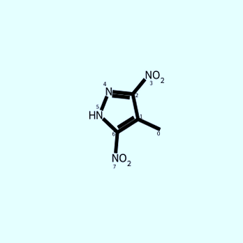 Cc1c([N+](=O)[O-])n[nH]c1[N+](=O)[O-]